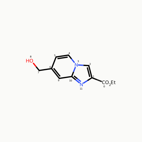 CCOC(=O)c1cn2ccc(CO)cc2n1